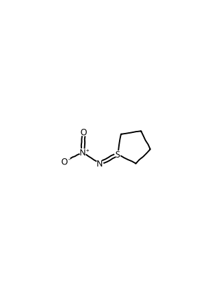 O=[N+]([O-])N=S1CCCC1